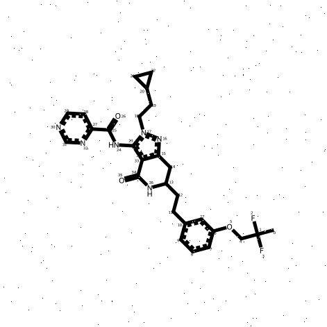 CC(F)(F)COc1cccc(CCC2Cc3nn(CCC4CC4)c(NC(=O)c4ccncn4)c3C(=O)N2)c1